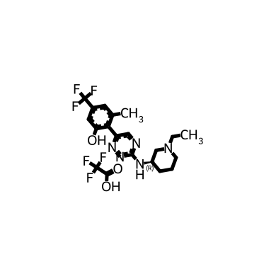 CCN1CCC[C@@H](Nc2ncc(-c3c(C)cc(C(F)(F)F)cc3O)nn2)C1.O=C(O)C(F)(F)F